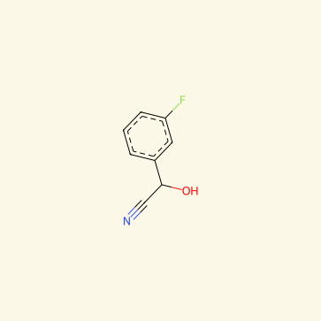 N#CC(O)c1cccc(F)c1